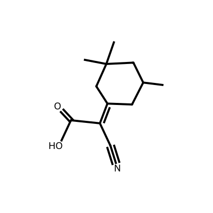 CC1C/C(=C(\C#N)C(=O)O)CC(C)(C)C1